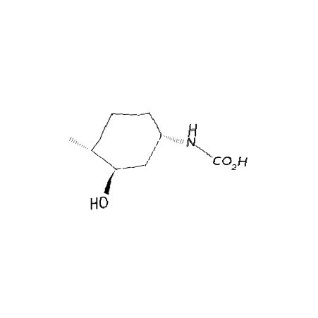 C[C@@H]1CC[C@H](NC(=O)O)C[C@H]1O